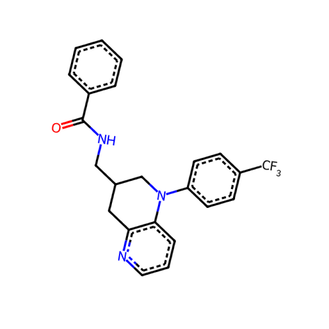 O=C(NCC1Cc2ncccc2N(c2ccc(C(F)(F)F)cc2)C1)c1ccccc1